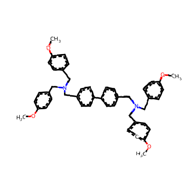 COc1ccc(CN(Cc2ccc(OC)cc2)Cc2ccc(-c3ccc(CN(Cc4ccc(OC)cc4)Cc4ccc(OC)cc4)cc3)cc2)cc1